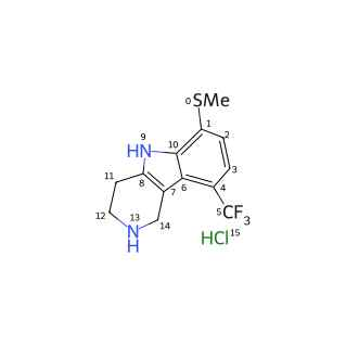 CSc1ccc(C(F)(F)F)c2c3c([nH]c12)CCNC3.Cl